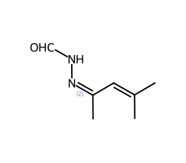 CC(C)=C/C(C)=N\NC=O